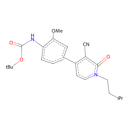 COc1cc(-c2ccn(CCC(C)C)c(=O)c2C#N)ccc1NC(=O)OC(C)(C)C